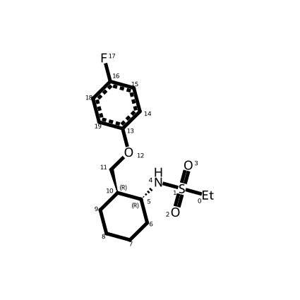 CCS(=O)(=O)N[C@@H]1CCCC[C@H]1COc1ccc(F)cc1